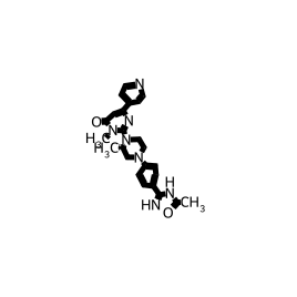 CC(=O)NC(=N)c1ccc(N2CCN(c3nc(-c4ccncc4)cc(=O)n3C)[C@H](C)C2)cc1